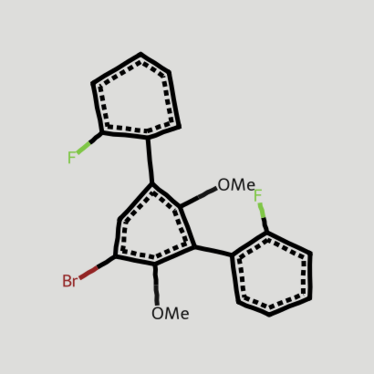 COc1c(Br)cc(-c2ccccc2F)c(OC)c1-c1ccccc1F